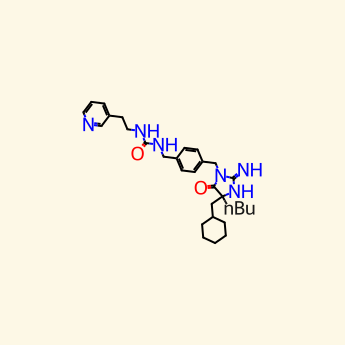 CCCCC1(CC2CCCCC2)NC(=N)N(Cc2ccc(CNC(=O)NCCc3cccnc3)cc2)C1=O